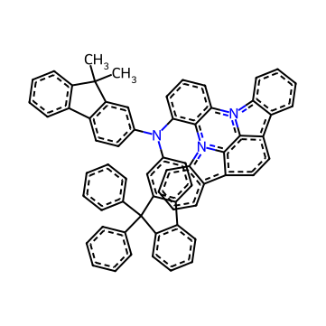 CC1(C)c2ccccc2-c2ccc(N(c3ccc4c(c3)C(c3ccccc3)(c3ccccc3)c3ccccc3-4)c3cccc4c3n3c5ccccc5c5ccc6c7ccccc7n4c6c53)cc21